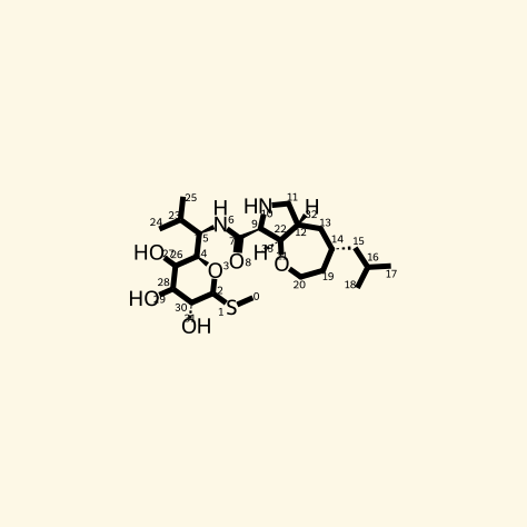 CSC1O[C@H]([C@H](NC(=O)[C@H]2NC[C@@H]3C[C@H](CC(C)C)CCO[C@H]32)C(C)C)C(O)C(O)[C@H]1O